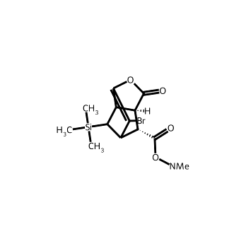 CNOC(=O)[C@@H]1C2C(Br)=C3OC(=O)[C@@H]1C3C2[Si](C)(C)C